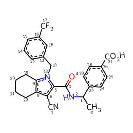 CC(NC(=O)c1c(C#N)c2c(n1Cc1cccc(C(F)(F)F)c1)CCCC2)c1ccc(C(=O)O)cc1